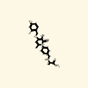 Cc1cc(OCc2ccc(F)cc2F)c(Br)c(=O)n1-c1ccc(CNC(C)C(N)=O)cc1.Cl